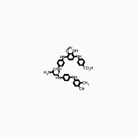 Cc1cc(Nc2ccc(N[C@H](CNc3ccc(Nc4ccc(Nc5ccc(C(=O)O)cc5)c(O)c4OC(C)C)cc3)CC(N)=O)cc2)ccc1C#N